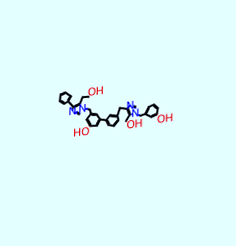 OCCc1c(-c2ccccc2)ncn1Cc1cc(O)cc(-c2cccc(Cc3ncn(Cc4cccc(O)c4)c3CO)c2)c1